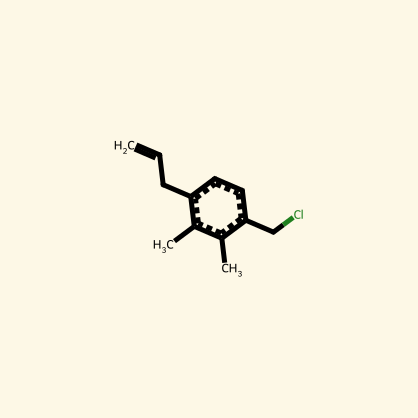 C=CCc1ccc(CCl)c(C)c1C